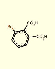 O=C(O)c1cccc(Br)c1C(=O)O